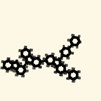 c1ccc(-c2ccc(-n3c4ccc(-c5ccc6c(c5)c5ccccc5n6-c5cccc6c5sc5ccccc56)cc4c4ccc(-c5ccccc5)cc43)cc2)cc1